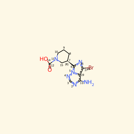 Nc1ncnn2c([C@@H]3CCCN(C(=O)O)C3)nc(Br)c12